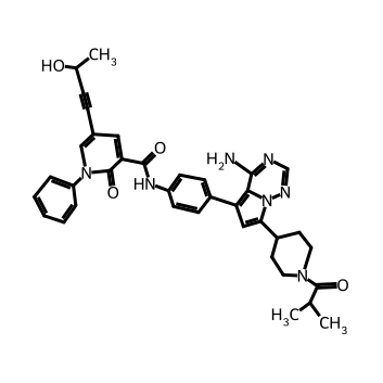 CC(O)C#Cc1cc(C(=O)Nc2ccc(-c3cc(C4CCN(C(=O)C(C)C)CC4)n4ncnc(N)c34)cc2)c(=O)n(-c2ccccc2)c1